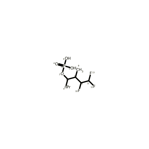 CCCC(OP(=O)(O)O)C(C)C(F)C(F)F